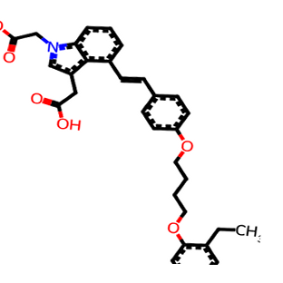 CCc1ccccc1OCCCCOc1ccc(C=Cc2cccc3c2c(CC(=O)O)cn3CC(=O)O)cc1